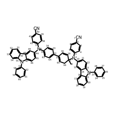 CC1(N(c2ccc(C#N)cc2)c2ccc3c(c2)c2ccccc2n3-c2ccccc2)C=CC(c2ccc(N(c3ccc(C#N)cc3)c3ccc4c(c3)c3ccccc3n4-c3ccccc3)cc2)=CC1